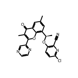 Cc1cc([C@@H](C)Oc2ccc(Cl)nc2C#N)c2oc(-c3cnccn3)c(C)c(=O)c2c1